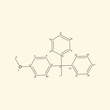 COc1ccc(C(C)(c2ccccc2)c2ccccc2)cc1